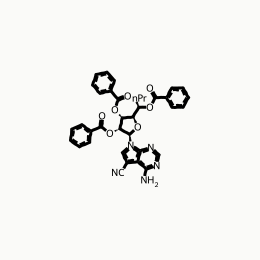 CCC[C@@H](OC(=O)c1ccccc1)[C@H]1O[C@@H](n2cc(C#N)c3c(N)ncnc32)[C@H](OC(=O)c2ccccc2)[C@@H]1OC(=O)c1ccccc1